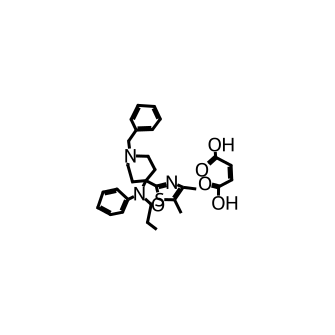 CCC(=O)N(c1ccccc1)C1(c2nc(C)c(C)s2)CCN(Cc2ccccc2)CC1.O=C(O)/C=C\C(=O)O